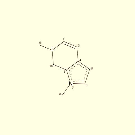 CC1C=Cc2ccn(C)c2C1